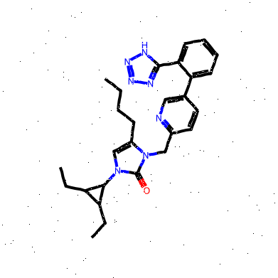 CCCCc1cn(C2C(CC)C2CC)c(=O)n1Cc1ccc(-c2ccccc2-c2nnn[nH]2)cn1